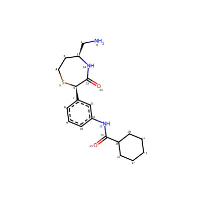 NC[C@@H]1CCS[C@H](c2cccc(NC(=O)C3CCCCC3)c2)C(=O)N1